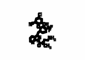 CN(CCN)C(=O)n1nc(CC2C=CC(C(F)(F)F)=C(Oc3cc(Cl)cc(C#N)c3)C2=O)c2cccnc21